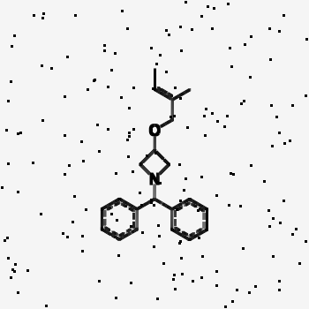 CC=C(C)COC1CN(C(c2ccccc2)c2ccccc2)C1